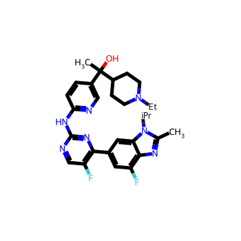 CCN1CCC(C(C)(O)c2ccc(Nc3ncc(F)c(-c4cc(F)c5nc(C)n(C(C)C)c5c4)n3)nc2)CC1